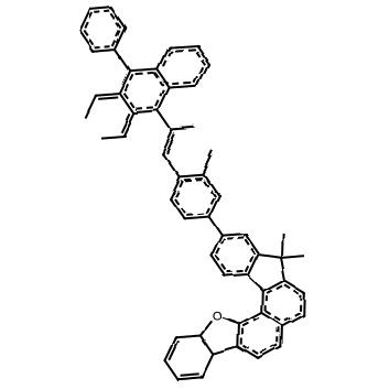 C/C=c1/c(/C(C)=C/c2ccc(-c3ccc4c(c3)C(C)(C)c3ccc5ccc6c(c5c3-4)OC3C=CC=CC63)cc2C)c2ccccc2c(-c2ccccc2)/c1=C/C